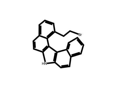 BrCCc1cccc2ccc3[nH]c4ccc5ccccc5c4c3c12